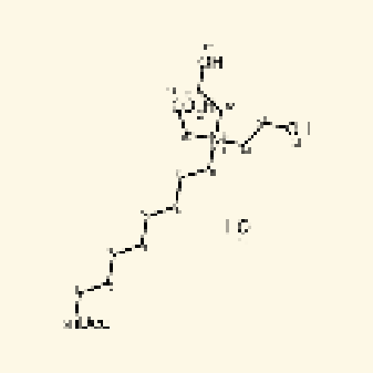 CCCCCCCCCCCCCCCCCC[N+](CCO)(CCO)CC(=O)O.[OH-]